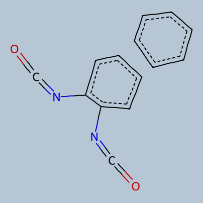 O=C=Nc1ccccc1N=C=O.c1ccccc1